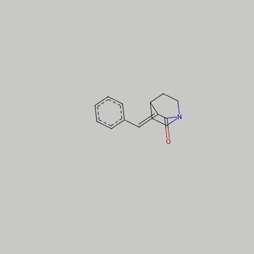 O=C1C(=Cc2ccccc2)C2CCN1CC2